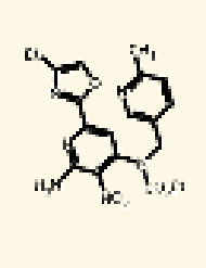 CCOC(=O)N(Cc1ccc(C)nc1)c1cc(-c2nc(CC)co2)nc(N)c1[N+](=O)[O-]